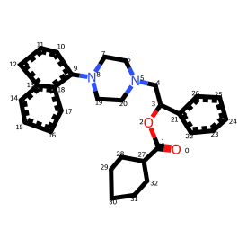 O=C(OC(CN1CCN(c2cccc3ccccc23)CC1)c1ccccc1)C1CCCCC1